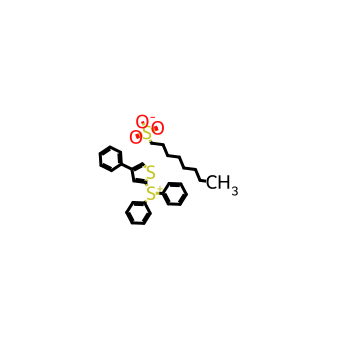 CCCCCCCCS(=O)(=O)[O-].c1ccc(-c2csc([S+](c3ccccc3)c3ccccc3)c2)cc1